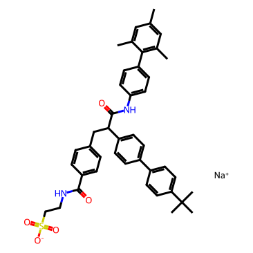 Cc1cc(C)c(-c2ccc(NC(=O)C(Cc3ccc(C(=O)NCCS(=O)(=O)[O-])cc3)c3ccc(-c4ccc(C(C)(C)C)cc4)cc3)cc2)c(C)c1.[Na+]